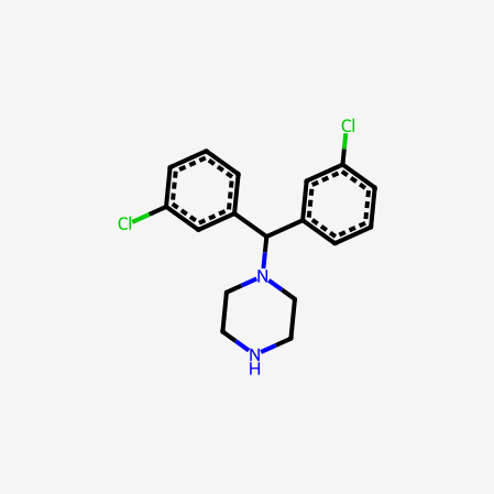 Clc1cccc(C(c2cccc(Cl)c2)N2CCNCC2)c1